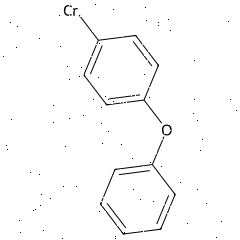 [Cr][c]1ccc(Oc2ccccc2)cc1